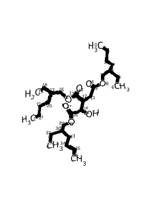 CCCCC(CC)COC(=O)CC(C(=O)OCC(CC)CCCC)C(O)C(=O)OCC(CC)CCCC